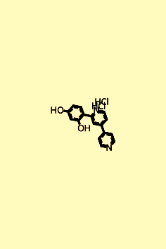 Cl.Cl.Oc1ccc(-c2cc(-c3ccncc3)ccn2)c(O)c1